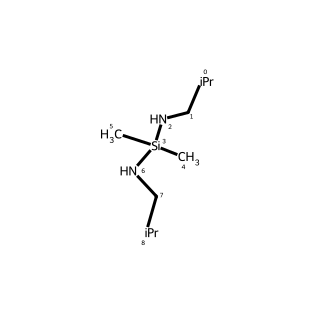 CC(C)CN[Si](C)(C)NCC(C)C